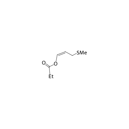 CCC(=O)O/C=C\CSC